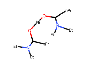 CCCC([O][Ni][O]C(CCC)N(CC)CC)N(CC)CC